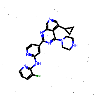 Fc1cccnc1Nc1cc(-c2nc(N3CCNCC3)c3c(C4CC4)cncc3n2)ccn1